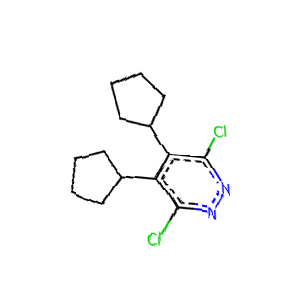 Clc1nnc(Cl)c(C2CCCC2)c1C1CCCC1